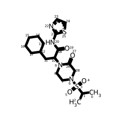 CC(C)S(=O)(=O)N1CCN(C(CC2CCCCC2)C(=O)Nc2nccs2)C(=O)C1